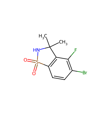 CC1(C)NS(=O)(=O)c2ccc(Br)c(F)c21